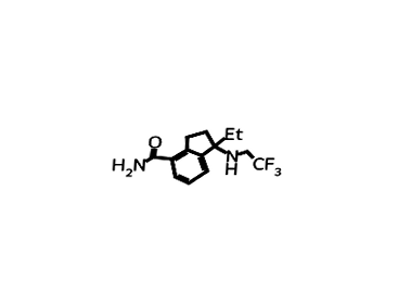 CCC1(NCC(F)(F)F)CCc2c(C(N)=O)cccc21